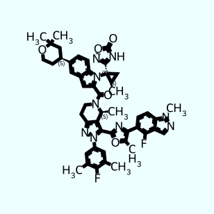 Cc1cc(-n2nc3c(c2-c2nc(-c4ccc5c(cnn5C)c4F)c(C)o2)[C@H](C)N(C(=O)c2cc4cc([C@H]5CCOC(C)(C)C5)ccc4n2[C@@]2(c4noc(=O)[nH]4)C[C@@H]2C)CC3)cc(C)c1F